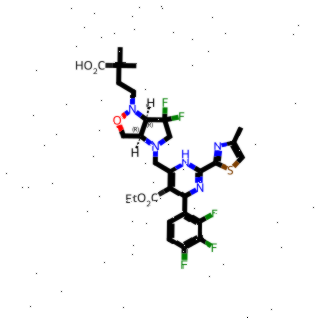 CCOC(=O)C1=C(CN2CC(F)(F)[C@H]3[C@@H]2CON3CCC(C)(C)C(=O)O)NC(c2nc(C)cs2)=NC1c1ccc(F)c(F)c1F